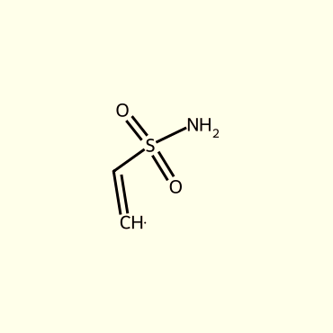 [CH]=CS(N)(=O)=O